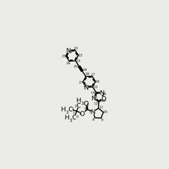 CC(C)(C)OC(=O)N1CCCC1c1nc(-c2ccc(C#Cc3ccncc3)cn2)no1